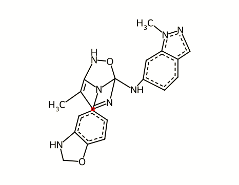 CC1=C2NOC(Nc3ccc4cnn(C)c4c3)(N=C1)N2c1ccc2c(c1)NCO2